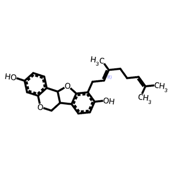 CC(C)=CCC/C(C)=C/Cc1c(O)ccc2c1OC1c3ccc(O)cc3OCC21